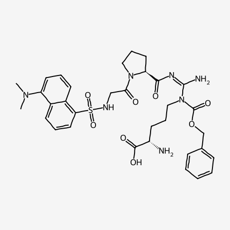 CN(C)c1cccc2c(S(=O)(=O)NCC(=O)N3CCC[C@H]3C(=O)N=C(N)N(CCC[C@H](N)C(=O)O)C(=O)OCc3ccccc3)cccc12